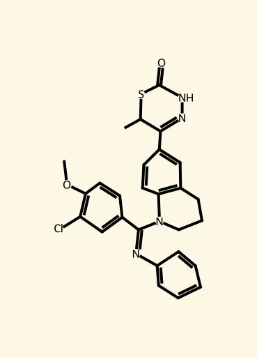 COc1ccc(/C(=N/c2ccccc2)N2CCCc3cc(C4=NNC(=O)SC4C)ccc32)cc1Cl